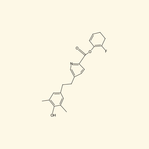 Cc1cc(CCc2ccc(C(=O)OC3=C(F)CCC=C3)nc2)cc(C)c1O